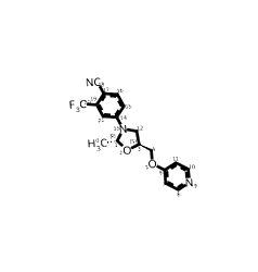 C[C@H]1O[C@H](COc2ccncc2)CN1c1ccc(C#N)c(C(F)(F)F)c1